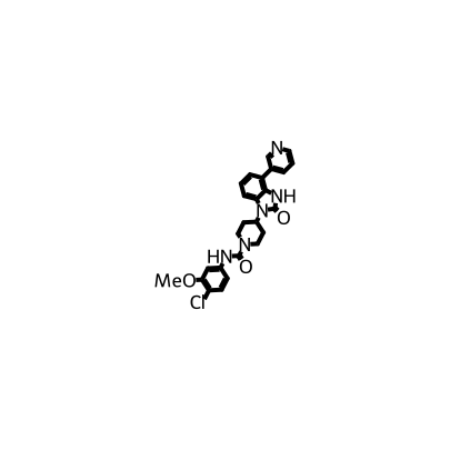 COc1cc(NC(=O)N2CCC(n3c(=O)[nH]c4c(-c5cccnc5)cccc43)CC2)ccc1Cl